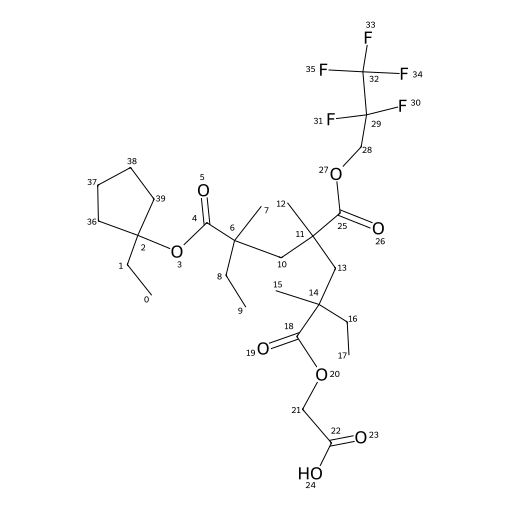 CCC1(OC(=O)C(C)(CC)CC(C)(CC(C)(CC)C(=O)OCC(=O)O)C(=O)OCC(F)(F)C(F)(F)F)CCCC1